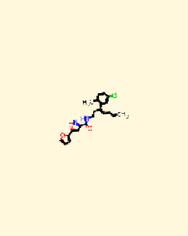 C=CC/C=C(/CCNC(=O)c1cc(-c2ccco2)on1)c1cc(Cl)ccc1C